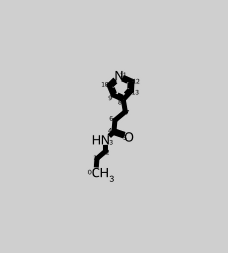 CCCNC(=O)CCc1ccncc1